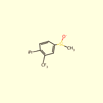 CC(C)c1ccc([S+](C)[O-])cc1C(F)(F)F